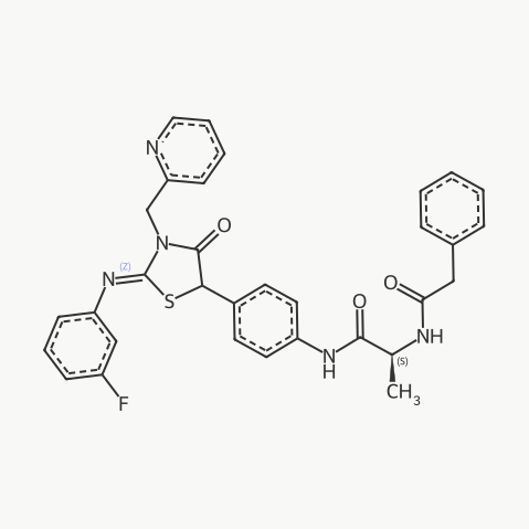 C[C@H](NC(=O)Cc1ccccc1)C(=O)Nc1ccc(C2S/C(=N\c3cccc(F)c3)N(Cc3ccccn3)C2=O)cc1